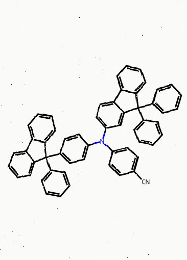 N#Cc1ccc(N(c2ccc(C3(c4ccccc4)c4ccccc4-c4ccccc43)cc2)c2ccc3c(c2)C(c2ccccc2)(c2ccccc2)c2ccccc2-3)cc1